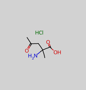 CC(=O)CC(C)(N)C(=O)O.Cl